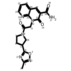 Cc1noc(C2CCN(C(=O)Cn3c(=O)c(C(N)=O)cc4cccnc43)C2)n1